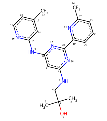 CC(C)(O)CNc1cc(Nc2cc(C(F)(F)F)ccn2)nc(-c2cccc(C(F)(F)F)n2)n1